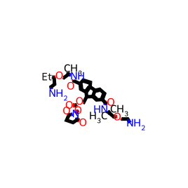 CCC(CCN)OCC(C)NC(=O)c1ccc2c(c1)C(COC(=O)ON1C(=O)CCC1=O)c1cc(C(=O)NC(C)(C)COCCN)ccc1-2